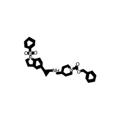 O=C(OCc1ccccc1)N1CCC(CNC2CC2c2ccc3c(c2)CCN3S(=O)(=O)c2ccccc2)CC1